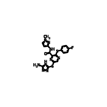 Cn1ccc(NC(=O)c2nc(Sc3nnc(N)[nH]3)cnc2Sc2ccc(F)cc2)n1